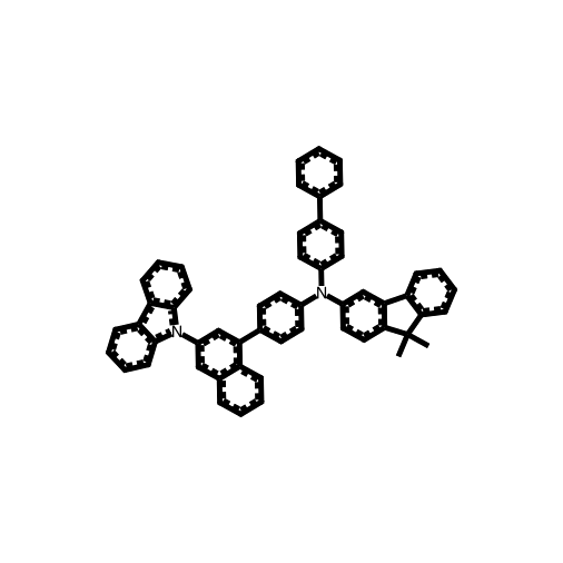 CC1(C)c2ccccc2-c2cc(N(c3ccc(-c4ccccc4)cc3)c3ccc(-c4cc(-n5c6ccccc6c6ccccc65)cc5ccccc45)cc3)ccc21